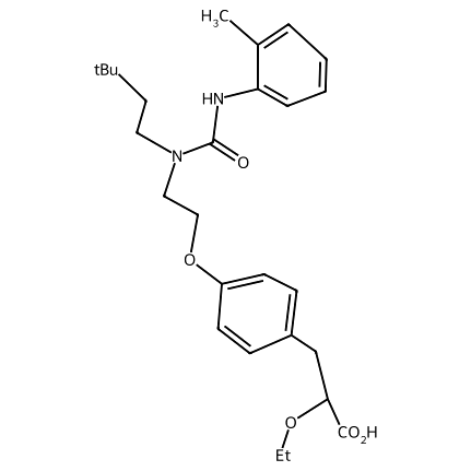 CCOC(Cc1ccc(OCCN(CCC(C)(C)C)C(=O)Nc2ccccc2C)cc1)C(=O)O